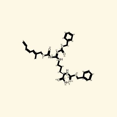 C=C/C=C\C=C(/C)COC(=O)N/C(=N/C(=O)OCc1ccccc1)NCCC[C@@H](NC(=O)OCc1ccccc1)C(N)=O